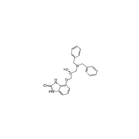 O=c1[nH]c2cccc(OC[C@@H](O)CN(Cc3ccccc3)Cc3ccccc3)c2[nH]1